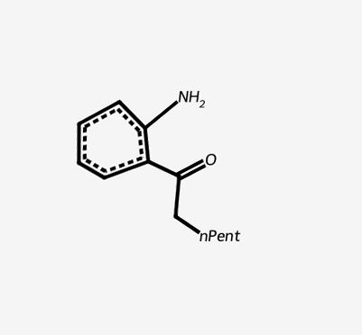 CCCCCCC(=O)c1ccccc1N